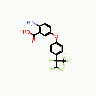 Nc1ccc(Oc2ccc(C(F)(C(F)F)C(F)(F)F)cc2)cc1C(=O)O